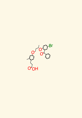 Cc1cc(OCCC(C)Oc2ccc(Br)cc2C(=O)c2ccccc2)ccc1CCC(=O)O